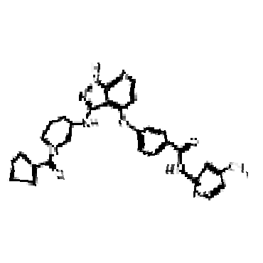 Cc1ccnc(NC(=O)c2ccc(Oc3ccnc4[nH]nc(NC5CCCN(C(=O)C6CCCC6)C5)c34)cc2)c1